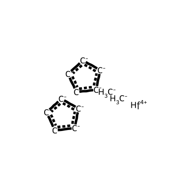 [CH3-].[CH3-].[Hf+4].[c-]1[c-][c-][cH-][c-]1.[c-]1[c-][c-][cH-][c-]1